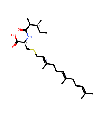 CC[C@H](C)C(C)C(=O)N[C@@H](CSC/C=C(\C)CC/C=C(\C)CCC=C(C)C)C(=O)O